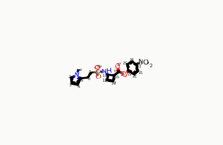 Cn1cccc1CCS(=O)(=O)NC1CCC1C(=O)Oc1ccc([N+](=O)[O-])cc1